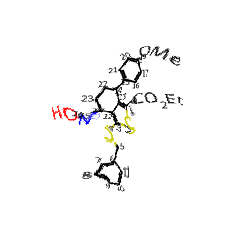 CCOC(=O)c1sc(SCc2ccccc2)c2c1C(c1ccc(OC)cc1)CC/C2=N\O